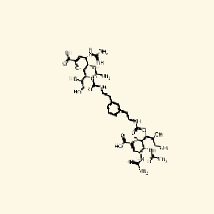 CC(=O)N[C@H]1[C@H]([C@H](OC(=O)NCCc2cccc(CCNC(=O)O[C@@H](C3OC(C(=O)O)=C[C@H](NC(=N)N)[C@H]3NC(C)=O)[C@@H](O)CO)c2)[C@H](O)CO)OC(C(=O)O)=C[C@@H]1NC(=N)N